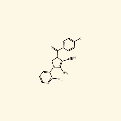 Cc1ccccc1N1CC(C(=O)c2ccc(Cl)cc2)C(C#N)=C1N